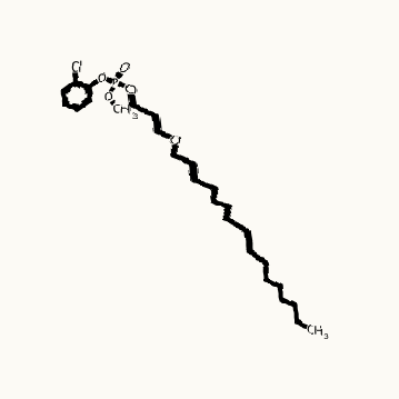 CCCCCCCCCCCCCCCCOCCCOP(=O)(OC)Oc1ccccc1Cl